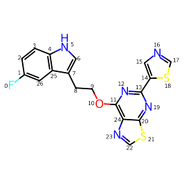 Fc1ccc2[nH]cc(CCOc3nc(-c4cncs4)nc4scnc34)c2c1